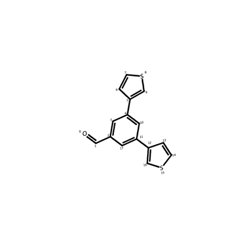 O=Cc1cc(-c2ccsc2)cc(-c2ccsc2)c1